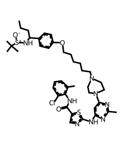 CCCC(N[S+]([O-])C(C)(C)C)c1ccc(OCCCCCCN2CCN(c3cc(Nc4ncc(C(=O)Nc5c(C)cccc5Cl)s4)nc(C)n3)CC2)cc1